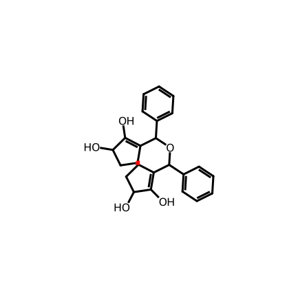 OC1=C(C(OC(C2=C(O)C(O)CC2)c2ccccc2)c2ccccc2)CCC1O